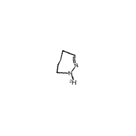 [2H]N1CCCC=N1